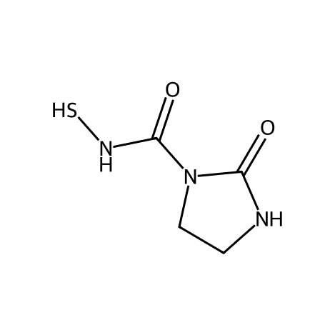 O=C(NS)N1CCNC1=O